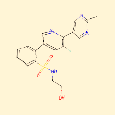 Cc1ncc(-c2ncc(-c3ccccc3S(=O)(=O)NCCO)cc2F)cn1